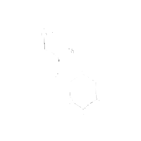 N[C@@H](CO)C[C@@H]1CCCCO1